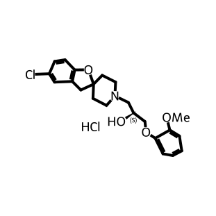 COc1ccccc1OC[C@@H](O)CN1CCC2(CC1)Cc1cc(Cl)ccc1O2.Cl